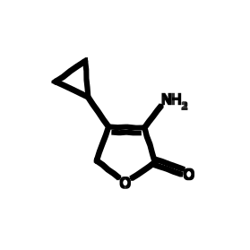 NC1=C(C2CC2)COC1=O